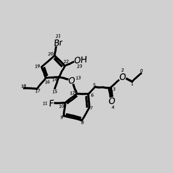 CCOC(=O)Cc1cccc(F)c1OC1(C)C(CC)=CC(Br)=C1O